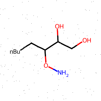 CCCCCC(ON)C(O)CO